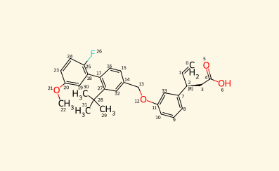 C=C[C@@H](CC(=O)O)c1cccc(OCc2ccc(-c3cc(OC)ccc3F)c(C(C)(C)C)c2)c1